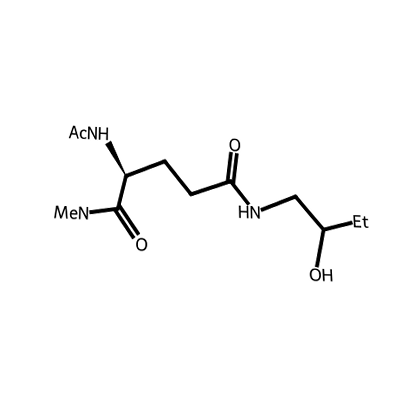 CCC(O)CNC(=O)CC[C@H](NC(C)=O)C(=O)NC